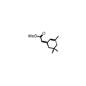 COC(=O)/C=C1\C=C(C)CC(C)(C)C1